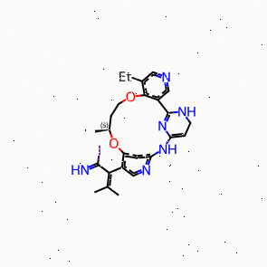 CCc1cncc2c1OCC[C@H](C)Oc1cc(ncc1C(C(=N)I)=C(C)C)NC1=CCNC2=N1